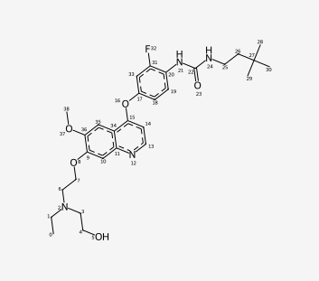 CCN(CCO)CCOc1cc2nccc(Oc3ccc(NC(=O)NCCC(C)(C)C)c(F)c3)c2cc1OC